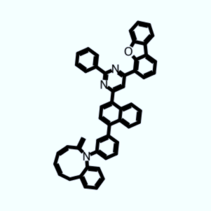 C=C1/C=C\C=C/Cc2ccccc2N1c1cccc(-c2ccc(-c3cc(-c4cccc5c4oc4ccccc45)nc(-c4ccccc4)n3)c3ccccc23)c1